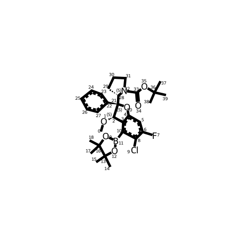 CO[C@H]1c2c(cc(F)c(Cl)c2B2OC(C)(C)C(C)(C)O2)O[C@@]1(c1ccccc1)[C@@H]1CCCN1C(=O)OC(C)(C)C